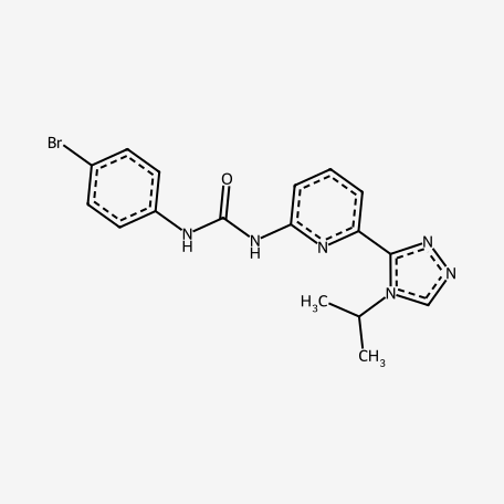 CC(C)n1cnnc1-c1cccc(NC(=O)Nc2ccc(Br)cc2)n1